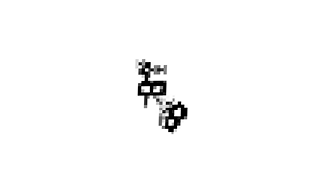 O=S(=O)(Nc1cccc2c1CCCC2c1cnc[nH]1)c1cccc2cccnc12